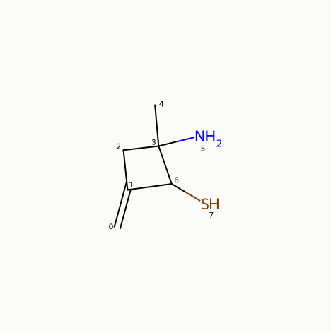 C=C1CC(C)(N)C1S